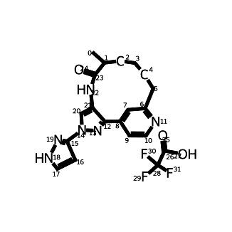 CC1CCCCc2cc(ccn2)-c2nn(-c3cc[nH]n3)cc2NC1=O.O=C(O)C(F)(F)F